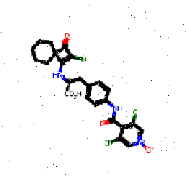 O=C(Nc1ccc(C[C@H](NC2=C(Br)C(=O)C23CCCCC3)C(=O)O)cc1)c1c(Cl)c[n+]([O-])cc1Cl